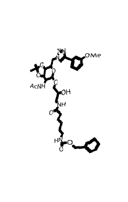 COc1cccc(-c2cn(CC3OC(OCC(O)CNC(=O)CCCCCNC(=O)OCc4ccccc4)C(NC(C)=O)C4OC(C)(C)OC34)nn2)c1